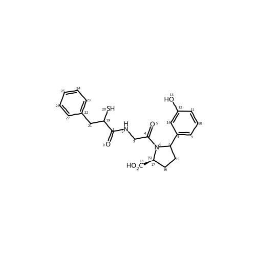 O=C(NCC(=O)N1C(c2cccc(O)c2)CC[C@H]1C(=O)O)C(S)Cc1ccccc1